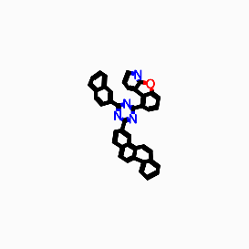 c1ccc2cc(-c3nc(-c4ccc5ccc6c7ccccc7ccc6c5c4)nc(-c4cccc5oc6ncccc6c45)n3)ccc2c1